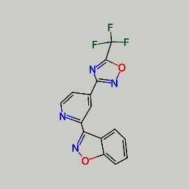 FC(F)(F)c1nc(-c2ccnc(-c3noc4ccccc34)c2)no1